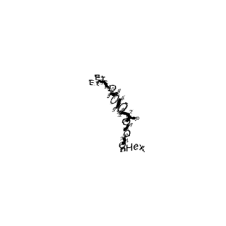 [CH2]C(CCOCCOCCOCCC(CC)CC)OCCOCCOCCCCCC